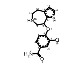 NC(=O)c1ccc(OC2CNCCc3ccsc32)c(Cl)c1